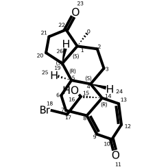 C[C@]12CC[C@H]3[C@@H](CCC4=CC(=O)C=C[C@@]43C(O)CBr)[C@@H]1CCC2=O